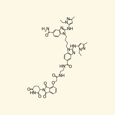 CCn1nc(C)cc1Nc1nc2cc(C(N)=O)ccc2n1CCCCn1c(Nc2cc(C)nn2CC)nc2cc(C(=O)NCCNC(=O)COc3cccc4c3C(=O)N(C3CCC(=O)NC3=O)C4=O)ccc21